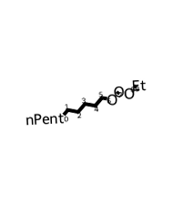 CCCCCCCCCCOOOCC